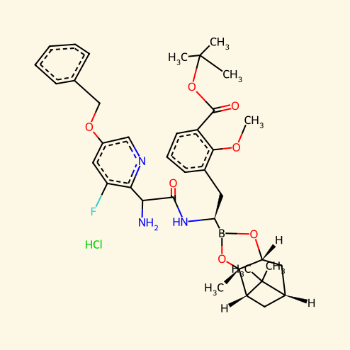 COc1c(C[C@H](NC(=O)C(N)c2ncc(OCc3ccccc3)cc2F)B2O[C@@H]3C[C@@H]4C[C@@H](C4(C)C)[C@]3(C)O2)cccc1C(=O)OC(C)(C)C.Cl